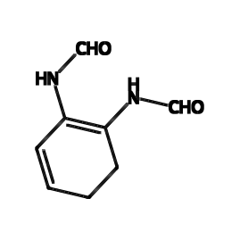 O=CNC1=C(NC=O)CCC=C1